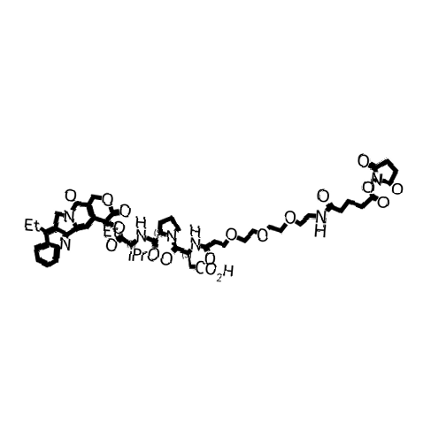 CCc1c2c(nc3ccccc13)-c1cc3c(c(=O)n1C2)COC(=O)[C@@]3(CC)OC(=O)[C@@H](NC(=O)[C@@H]1CCCN1C(=O)[C@H](CC(=O)O)NC(=O)CCOCCOCCOCCNC(=O)CCCC(=O)ON1C(=O)CCC1=O)C(C)C